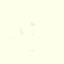 C[SiH2]OC(O[SiH2]C)C(C)CC1=CCCCCCCCCCC1